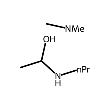 CCCNC(C)O.CNC